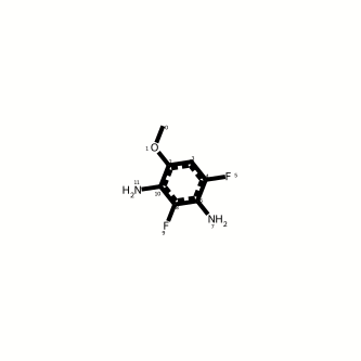 COc1cc(F)c(N)c(F)c1N